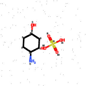 N[C@H]1CC[C@H](O)CC1.O=S(=O)(O)O